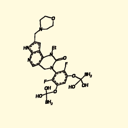 BC(O)(O)Oc1cc(OC(B)(O)O)c(F)c(N2Cc3cnc4[nH]c(CN5CCOCC5)cc4c3N(CC)C2=O)c1F